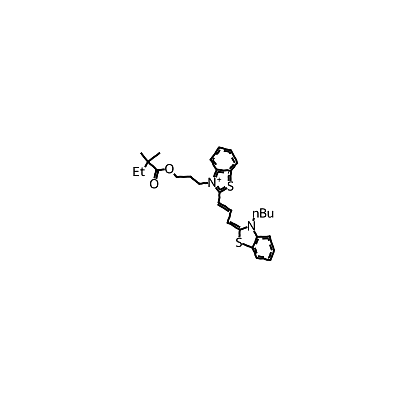 CCCCN1C(=CC=Cc2sc3ccccc3[n+]2CCCOC(=O)C(C)(C)CC)Sc2ccccc21